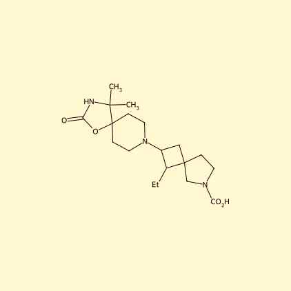 CCC1C(N2CCC3(CC2)OC(=O)NC3(C)C)CC12CCN(C(=O)O)C2